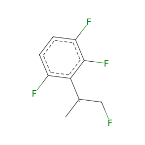 C[C](CF)c1c(F)ccc(F)c1F